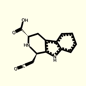 O=C=C[C@H]1N[C@H](C(=O)O)Cc2c1[nH]c1ccccc21